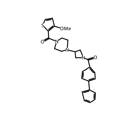 COc1ccsc1C(=O)N1CCN(C2CN(C(=O)c3ccc(-c4ccccc4)cc3)C2)CC1